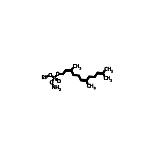 CCOP(=O)(ON)OCC=C(C)CCC=C(C)CCC=C(C)C